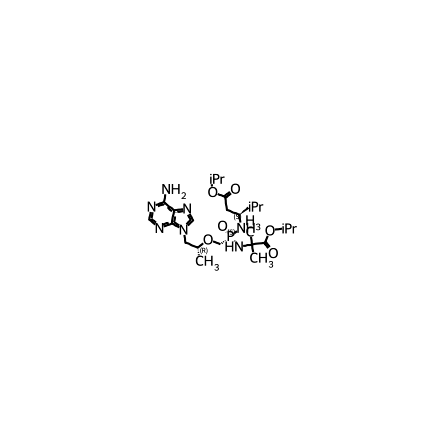 CC(C)OC(=O)C[C@H](N[P@@](=O)(CO[C@H](C)Cn1cnc2c(N)ncnc21)NC(C)(C)C(=O)OC(C)C)C(C)C